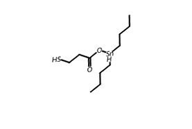 CCC[CH2][SnH]([CH2]CCC)[O]C(=O)CCS